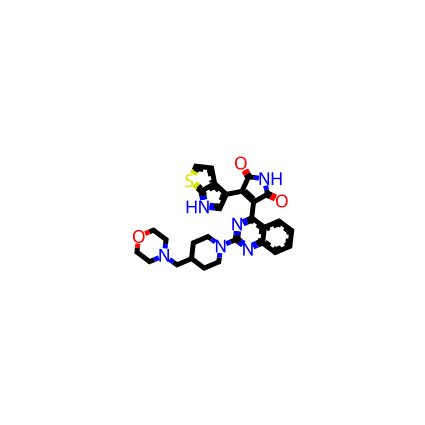 O=C1NC(=O)C(c2c[nH]c3sccc23)=C1c1nc(N2CCC(CN3CCOCC3)CC2)nc2ccccc12